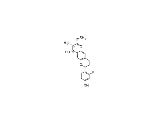 COC(=O)[C@@H](C)[C@@H](O)c1ccc2c(c1)OC(c1ccc(O)cc1F)CC2